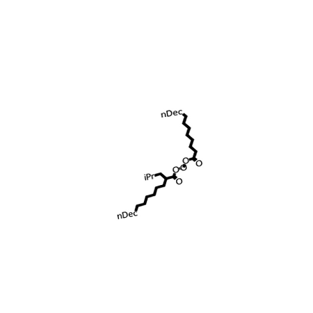 CCCCCCCCCCCCCCCCCC(=O)OOOC(=O)C(CCCCCCCCCCCCCCCC)CC(C)C